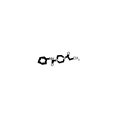 CCC(=O)N1CCN(C(=O)Nc2ccccc2)CC1